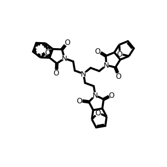 O=C1c2c(c3ccc2o3)C(=O)N1CCN(CCN1C(=O)C2C3C=CC(O3)C2C1=O)CCN1C(=O)C2C3C=CC(O3)C2C1=O